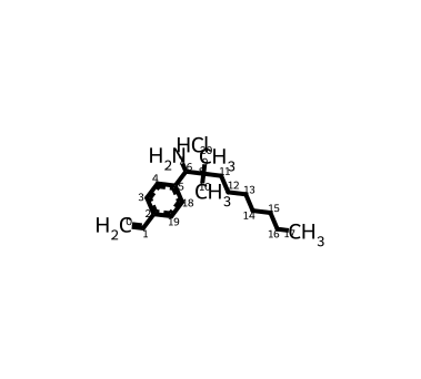 C=Cc1ccc(C(N)C(C)(C)CCCCCCC)cc1.Cl